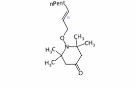 CCCCC/C=C/CON1C(C)(C)CC(=O)CC1(C)C